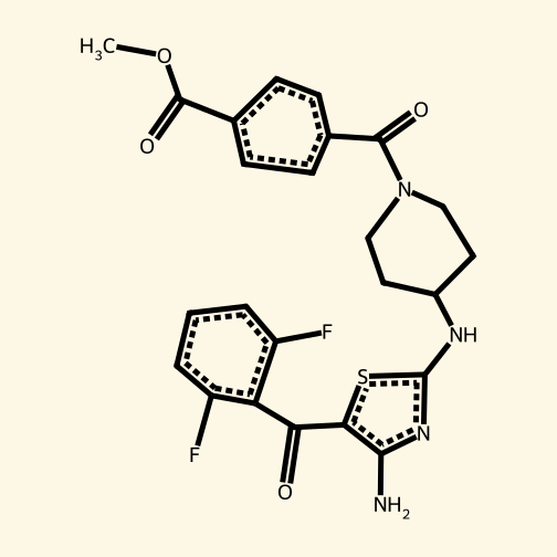 COC(=O)c1ccc(C(=O)N2CCC(Nc3nc(N)c(C(=O)c4c(F)cccc4F)s3)CC2)cc1